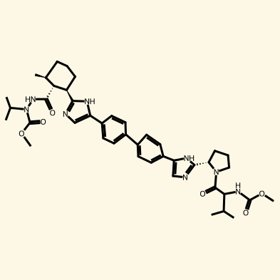 COC(=O)NC(C(=O)N1CCC[C@H]1c1ncc(-c2ccc(-c3ccc(-c4cnc([C@@H]5CCC[C@H](C)[C@H]5C(=O)NN(C(=O)OC)C(C)C)[nH]4)cc3)cc2)[nH]1)C(C)C